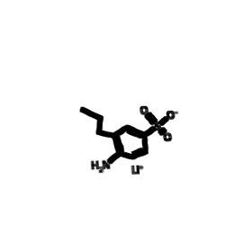 CCCc1cc(S(=O)(=O)[O-])ccc1N.[Li+]